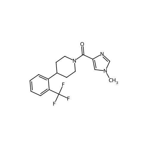 Cn1cnc(C(=O)N2CCC(c3ccccc3C(F)(F)F)CC2)c1